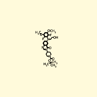 COc1cc(OC)c(F)c(N(CCO)c2ccc3ncn(C4CCN(C(=O)OC(C)(C)C)CC4)c(=O)c3c2)c1F